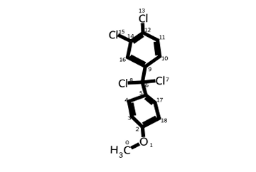 COc1ccc(C(Cl)(Cl)c2ccc(Cl)c(Cl)c2)cc1